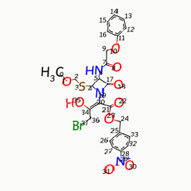 COCSC1C(NC(=O)COc2ccccc2)C(=O)N1C(C(=O)OCc1ccc([N+](=O)[O-])cc1)=C(O)CBr